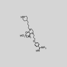 CC(=O)O.N=C(N)c1ccc(OCCCN2CCN(CCCCC3CCNCC3)C(=O)C2=O)cc1